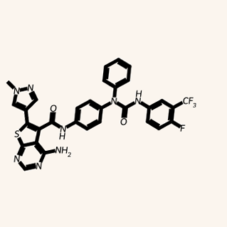 Cn1cc(-c2sc3ncnc(N)c3c2C(=O)Nc2ccc(N(C(=O)Nc3ccc(F)c(C(F)(F)F)c3)c3ccccc3)cc2)cn1